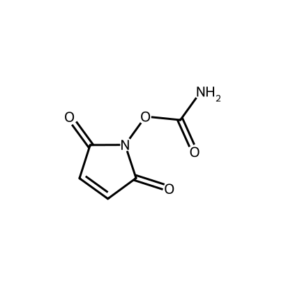 NC(=O)ON1C(=O)C=CC1=O